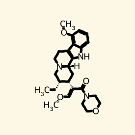 CC[C@@H]1CN2CCc3c([nH]c4cccc(OC)c34)[C@@H]2C[C@@H]1/C(=C\OC)C(=O)N1CCOCC1